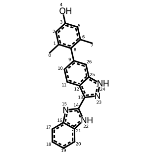 Cc1cc(O)cc(C)c1-c1ccc2c(-c3nc4ccccc4[nH]3)n[nH]c2c1